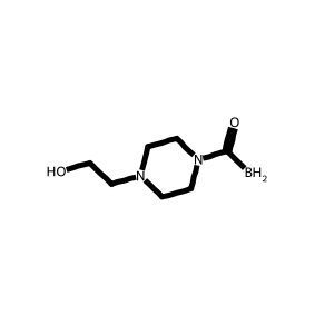 BC(=O)N1CCN(CCO)CC1